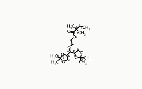 CCC(C)(C)C(=O)OCCOC(C1COC(C)(C)O1)C1COC(C)(C)O1